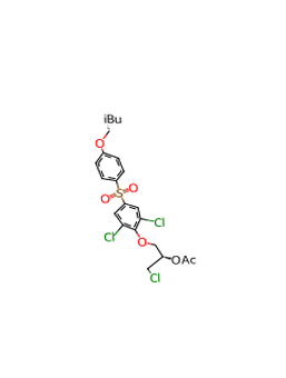 CC[C@@H](C)COc1ccc(S(=O)(=O)c2cc(Cl)c(OC[C@H](CCl)OC(C)=O)c(Cl)c2)cc1